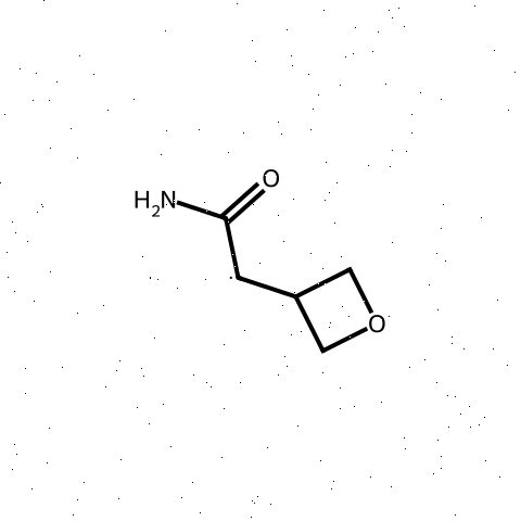 NC(=O)[CH]C1COC1